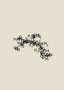 Cc1c(-c2ccc(N3CCc4cccc(C(=O)Nc5nc6ccccc6s5)c4C3)nc2C(=O)O)cnn1CC12CC3(C)CC(C)(C1)CC(OCCN(C)C(=O)[C@H](CCCC[N+](C)(C)C)NC(=O)OCc1ccc(NC(=O)[C@H](CCCNC(N)=O)NC(=O)CNC(=O)CCCCCN4C(=O)C=CC4=O)cc1)(C3)C2